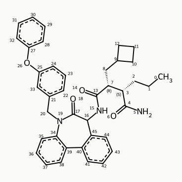 CCC[C@H](C(N)=O)[C@@H](CC1CCC1)C(=O)NC1C(=O)N(Cc2cccc(Oc3ccccc3)c2)c2ccccc2-c2ccccc21